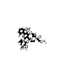 C=CC(=O)N1CCN2C(=O)c3c(N4CC(=O)N(C)CC45CC5)nc(-c4c(O)cccc4F)c(Cl)c3OC[C@H]2C1